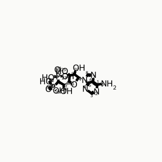 Nc1ncnc2c1ncn2[C@@H]1O[C@H](C(O)C(P(=O)(O)O)P(=O)(O)O)C(O)C1O